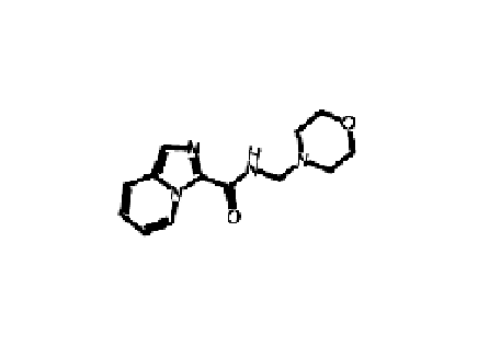 O=C(NCN1CCOCC1)c1ncc2ccccn12